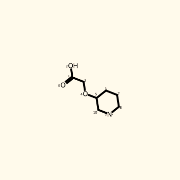 O=C(O)COC1[CH]CC[N]C1